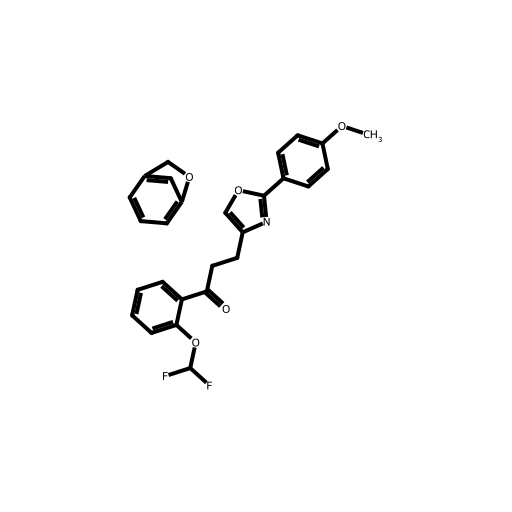 COc1ccc(-c2nc(CCC(=O)c3ccccc3OC(F)F)co2)cc1.c1cc2cc(c1)OC2